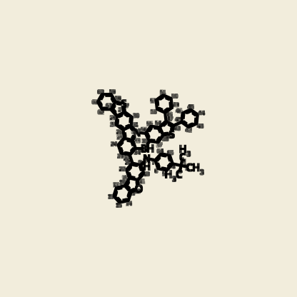 CC(C)(C)c1ccc(Nc2cc3oc4ccccc4c3cc2-c2ccc3c4cc5c(cc4n4c3c2Bc2cc3sc(-c6ccccc6)c(-c6ccccc6)c3cc2-4)sc2ccccc25)cc1